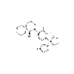 Cc1cc([N+]2([C@@H]3CCNC3)CCC[C@H]2C)ccc1N1CCCC2(CCOCC2)C1=O